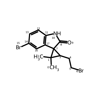 CC1(C)C(CCBr)C12C(=O)Nc1ccc(Br)cc12